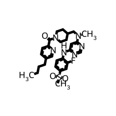 CCCCc1ccc(C(=O)N2CCC(CN(C)c3cc(Nc4ccc(S(C)(=O)=O)cc4F)ncn3)CC2)nc1